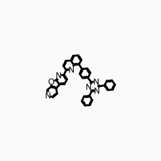 c1ccc(-c2nc(-c3ccccc3)nc(-c3ccc(-c4cccc5ccc(-c6ccc7c(n6)oc6cnccc67)nc45)cc3)n2)cc1